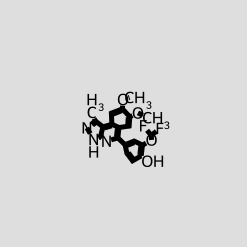 COc1cc2c(-c3ccc(O)c(OC(F)F)c3)nc3[nH]nc(C)c3c2cc1OC